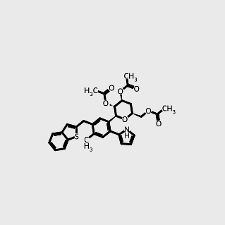 CC(=O)OC[C@@H]1C[C@H](OC(C)=O)[C@@H](OC(C)=O)[C@H](c2cc(Cc3cc4ccccc4s3)c(C)cc2-c2ccc[nH]2)O1